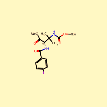 COC(=O)[C@@H](NC(=O)c1ccc(I)cc1)C(C)(C)NC(=O)OC(C)(C)C